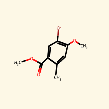 COC(=O)c1cc(Br)c(OC)cc1C